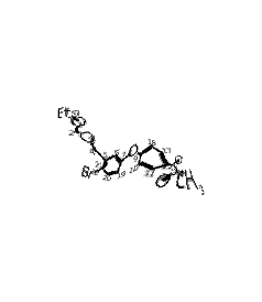 CCOCOCc1cc(Oc2ccc(S(C)(=O)=O)cc2)ccc1Br